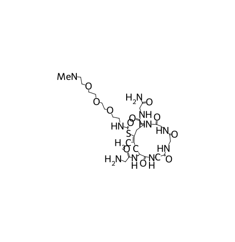 CNCCOCCOCCOCCNC(=O)S/C1=C(\C)C[C@H](NC(=O)CN)C(=O)NCC(=O)NCC(=O)NCC(=O)N[C@H](C(=O)NCC(N)=O)C1